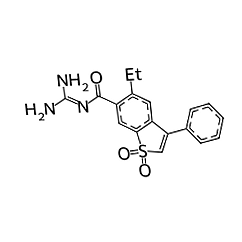 CCc1cc2c(cc1C(=O)N=C(N)N)S(=O)(=O)C=C2c1ccccc1